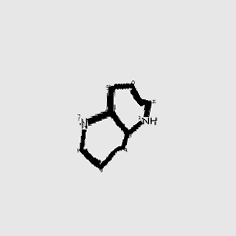 C1=CNC2CC=C[N]C2C1